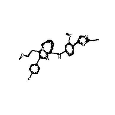 COCCc1c(-c2ccc(F)cc2)nc2c(Nc3ccc(-c4cnc(C)o4)c(OC)c3)cccn12